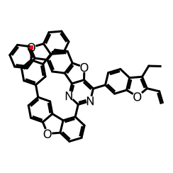 C=Cc1oc2cc(-c3nc(-c4cccc5oc6ccc(-c7ccc8oc9ccccc9c8c7)cc6c45)nc4c3oc3ccc(-c5ccccc5)cc34)ccc2c1CC